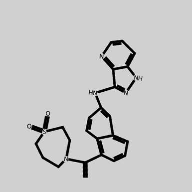 C=C(c1cccc2cc(Nc3n[nH]c4cccnc34)ccc12)N1CCCS(=O)(=O)CC1